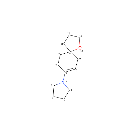 C1=C(N2CCCC2)CCC2(C1)CCCO2